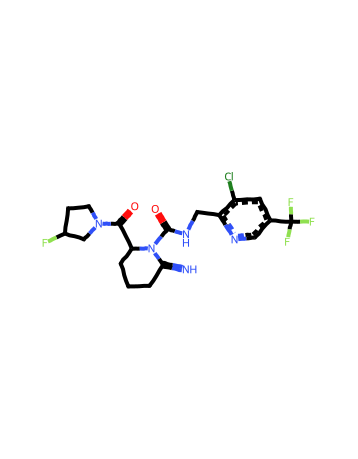 N=C1CCCC(C(=O)N2CCC(F)C2)N1C(=O)NCc1ncc(C(F)(F)F)cc1Cl